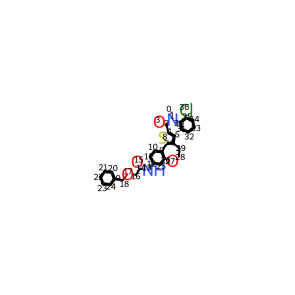 CN(C(=O)c1cc2c(s1)-c1ccc(NC(=O)COCc3ccccc3)cc1OCC2)c1ccccc1Cl